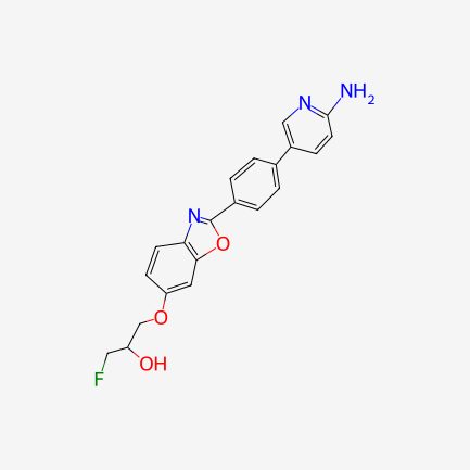 Nc1ccc(-c2ccc(-c3nc4ccc(OCC(O)CF)cc4o3)cc2)cn1